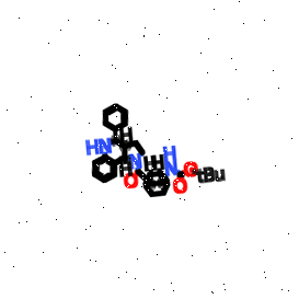 CC(C)(C)OC(=O)N[C@@H]1C2CCC(CC2)[C@@H]1C(=O)N1CC[C@@H]2[C@H](C3C=CC=CC3)Nc3ccccc3[C@@H]21